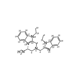 CCn1c(CN(CCN)Cc2nc3ccccc3n2CC)nc2ccccc21